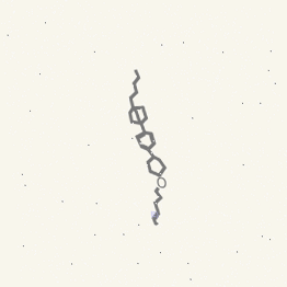 C/C=C/CCCOC1CCC(c2ccc(C34CCC(CCCCC)(CC3)CC4)cc2)CC1